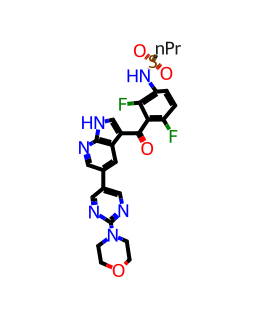 CCCS(=O)(=O)Nc1ccc(F)c(C(=O)c2c[nH]c3ncc(-c4cnc(N5CCOCC5)nc4)cc23)c1F